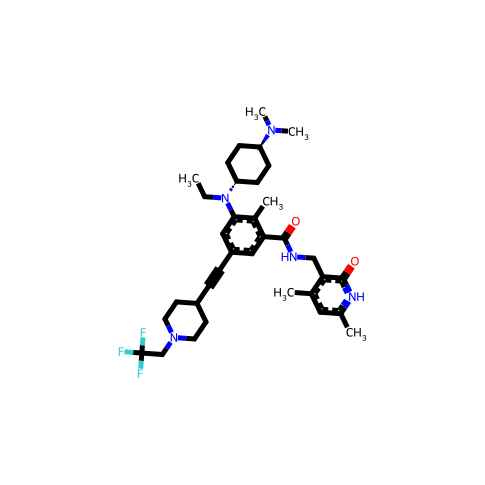 CCN(c1cc(C#CC2CCN(CC(F)(F)F)CC2)cc(C(=O)NCc2c(C)cc(C)[nH]c2=O)c1C)[C@H]1CC[C@H](N(C)C)CC1